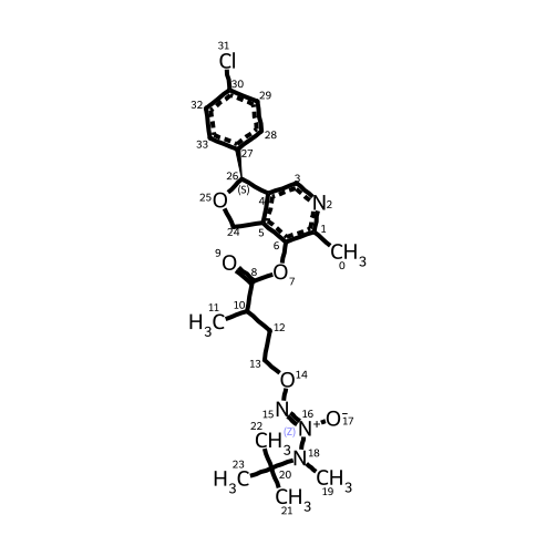 Cc1ncc2c(c1OC(=O)C(C)CCO/N=[N+](\[O-])N(C)C(C)(C)C)CO[C@H]2c1ccc(Cl)cc1